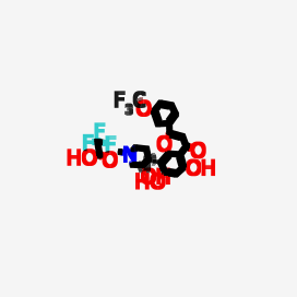 CN1CC[C@H](c2c(O)cc(O)c3c(=O)cc(-c4cccc(OC(F)(F)F)c4)oc23)[C@H](O)C1.O=C(O)C(F)(F)F